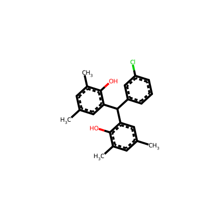 Cc1cc(C)c(O)c(C(c2cccc(Cl)c2)c2cc(C)cc(C)c2O)c1